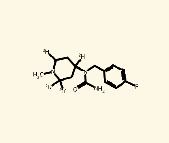 [2H]C1CC([2H])(N(Cc2ccc(F)cc2)C(N)=O)CC([2H])([2H])N1C